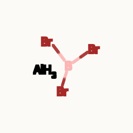 BrB(Br)Br.[AlH3]